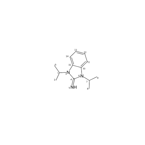 CC(C)n1c(=N)n(C(C)C)c2ccccc21